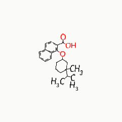 CC(C)C1(C)CCCC(Oc2c(C(=O)O)ccc3ccccc23)C1